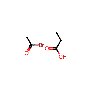 CC(=O)Br.CCC(=O)O